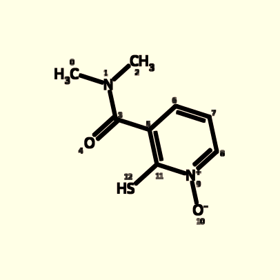 CN(C)C(=O)c1ccc[n+]([O-])c1S